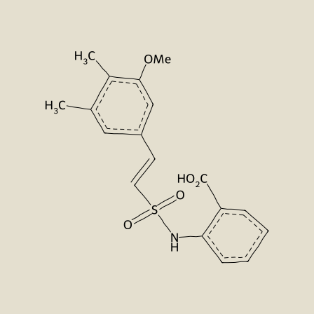 COc1cc(/C=C/S(=O)(=O)Nc2ccccc2C(=O)O)cc(C)c1C